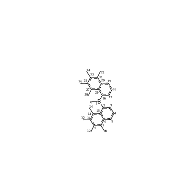 CB(c1cccc2c(C)c(C)c(C)c(C)c12)c1cccc2c(C)c(C)c(C)c(C)c12